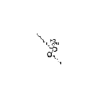 CCCCCCCCCCc1c(OC(=O)O)cccc1-c1ccccc1CCCCCC